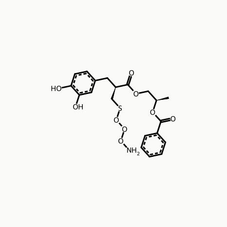 C[C@H](COC(=O)[C@@H](CSOOON)Cc1ccc(O)c(O)c1)OC(=O)c1ccccc1